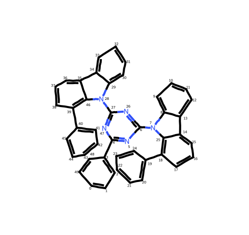 c1ccc(-c2nc(-n3c4ccccc4c4cccc(-c5ccccc5)c43)nc(-n3c4ccccc4c4cccc(-c5ccccc5)c43)n2)cc1